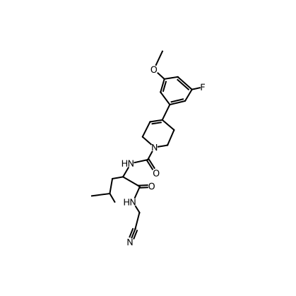 COc1cc(F)cc(C2=CCN(C(=O)NC(CC(C)C)C(=O)NCC#N)CC2)c1